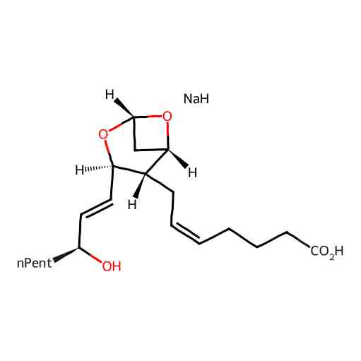 CCCCC[C@H](O)/C=C/[C@H]1O[C@H]2C[C@H](O2)[C@@H]1C/C=C\CCCC(=O)O.[NaH]